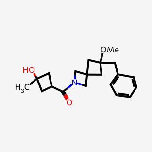 COC1(Cc2ccccc2)CC2(CN(C(=O)C3CC(C)(O)C3)C2)C1